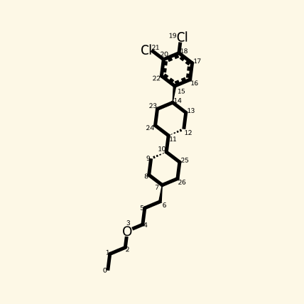 CCCOCCC[C@H]1CC[C@H]([C@H]2CC[C@H](c3ccc(Cl)c(Cl)c3)CC2)CC1